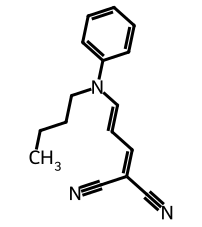 CCCCN(C=CC=C(C#N)C#N)c1ccccc1